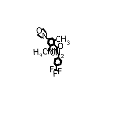 C=C(C)c1cc(N2CCOCC2)cc(C)c1C(=O)NCc1ccc(C(F)(F)F)cc1